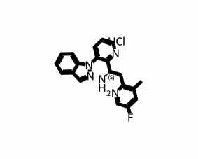 Cc1cc(F)cnc1C[C@H](N)c1ncccc1-n1ncc2ccccc21.Cl